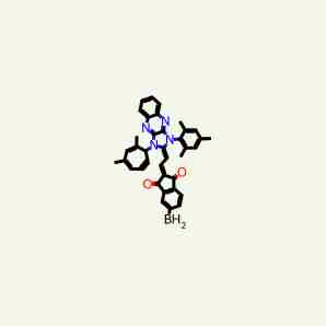 Bc1ccc2c(c1)C(=O)/C(=C/C=C1/N(c3c(C)cc(C)cc3C)c3nc4ccccc4nc3N1C1C#CC=C(C)C=C1C)C2=O